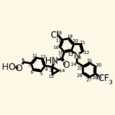 O=C(NC1(c2ccc(COO)cc2)CC1)c1cc(Cl)cc2ccn(Cc3ccc(C(F)(F)F)cc3)c12